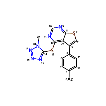 CC(=O)c1ccc(-c2csc3ncnc(Sc4nnnn4C)c23)cc1